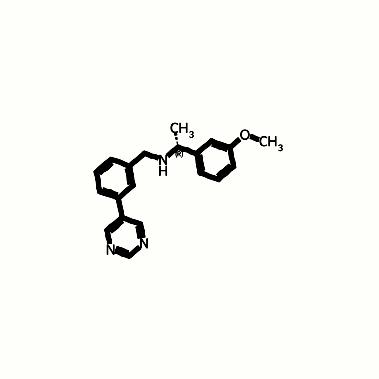 COc1cccc([C@@H](C)NCc2cccc(-c3cncnc3)c2)c1